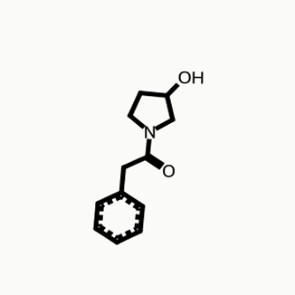 O=C(Cc1ccccc1)N1CCC(O)C1